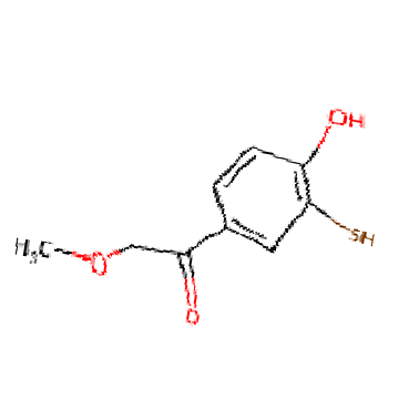 COCC(=O)c1ccc(O)c(S)c1